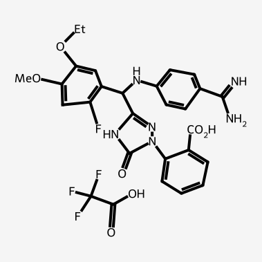 CCOc1cc(C(Nc2ccc(C(=N)N)cc2)c2nn(-c3ccccc3C(=O)O)c(=O)[nH]2)c(F)cc1OC.O=C(O)C(F)(F)F